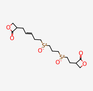 O=C1OCC1CC=CCC[S+]([O-])CCC[S+]([O-])CCC1COC1=O